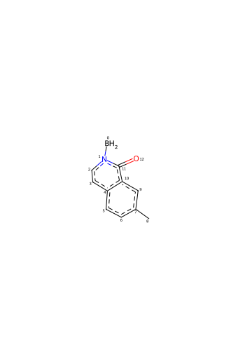 Bn1ccc2ccc(C)cc2c1=O